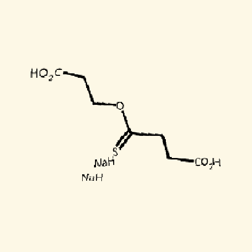 O=C(O)CCOC(=S)CCC(=O)O.[NaH].[NaH]